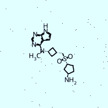 CN(c1ncnc2[nH]ccc12)[C@H]1C[C@@H](CS(=O)(=O)[C@@H]2CC[C@@H](N)C2)C1